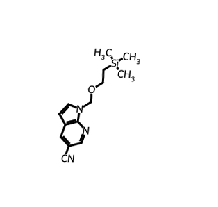 C[Si](C)(C)CCOCn1ccc2cc(C#N)cnc21